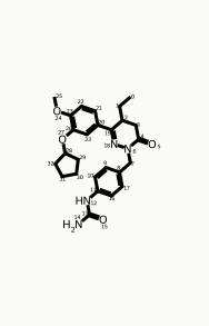 CCC1CC(=O)N(Cc2ccc(NC(N)=O)cc2)N=C1c1ccc(OC)c(OC2CCCC2)c1